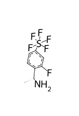 C[C@@H](N)c1ccc(S(F)(F)(F)(F)F)cc1F